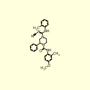 COc1ccc(NC(=O)N2CCN(/C(=N\C#N)Nc3ccccc3C)CC2c2ccccc2)c(C)c1